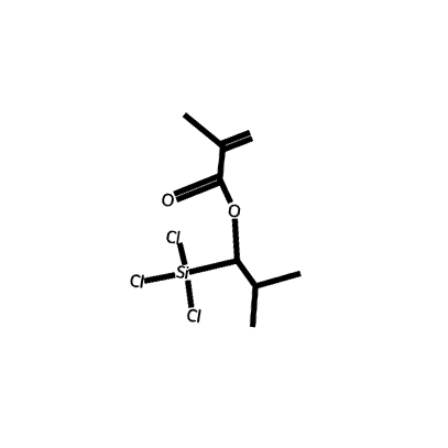 C=C(C)C(=O)OC(C(C)C)[Si](Cl)(Cl)Cl